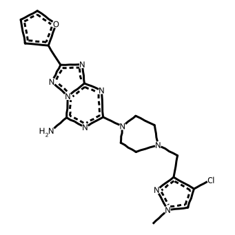 Cn1cc(Cl)c(CN2CCN(c3nc(N)n4nc(-c5ccco5)nc4n3)CC2)n1